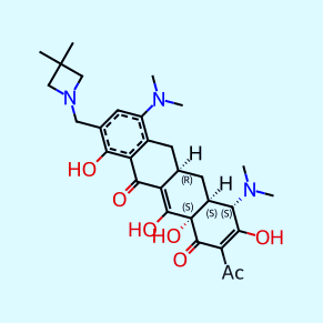 CC(=O)C1=C(O)[C@@H](N(C)C)[C@@H]2C[C@@H]3Cc4c(N(C)C)cc(CN5CC(C)(C)C5)c(O)c4C(=O)C3=C(O)[C@]2(O)C1=O